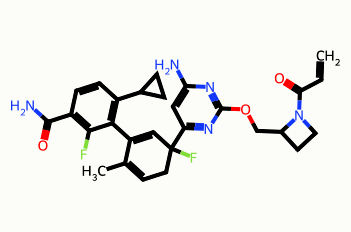 C=CC(=O)N1CCC1COc1nc(N)cc(C2(F)C=C(c3c(C4CC4)ccc(C(N)=O)c3F)C(C)=CC2)n1